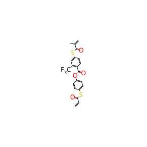 C=CC(=O)Sc1ccc(OC(=O)c2ccc(SC(=O)C(=C)C)cc2C(F)(F)F)cc1